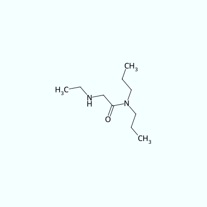 CCCN(CCC)C(=O)CNCC